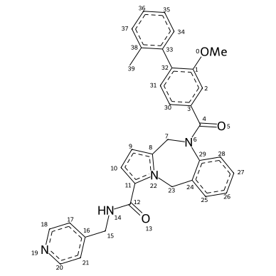 COc1cc(C(=O)N2Cc3ccc(C(=O)NCc4ccncc4)n3Cc3ccccc32)ccc1-c1ccccc1C